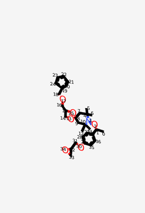 CC(ON1C(C)(C)CC2(CC1(C)C)OCC(COCc1ccccc1)O2)c1ccc(OCC2CO2)cc1